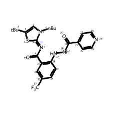 CCCCn1cc(C(C)(C)C)s/c1=N\C(=O)c1cc(C(F)(F)F)ccc1NNC(=O)c1ccncc1